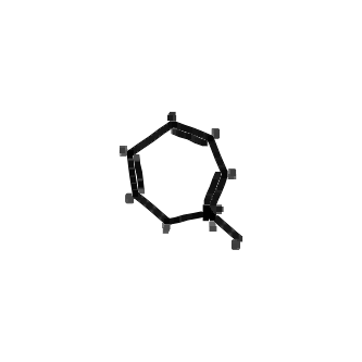 C[N+]1=CC=CC=CC1